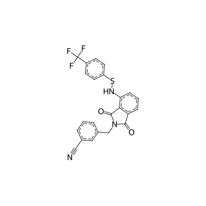 N#Cc1cccc(CN2C(=O)c3cccc(NSc4ccc(C(F)(F)F)cc4)c3C2=O)c1